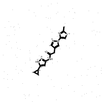 Cc1nc(-n2cc(CC(=O)Nc3cc(C4CC4)[nH]n3)cn2)cs1